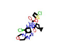 N#CN=C1CCOCCN1c1ccc(NC(=O)C2(NC(=O)Oc3ccc(Cl)s3)CCC3(CC3)C2)cc1Cl